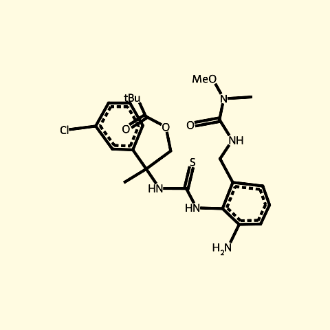 CON(C)C(=O)NCc1cccc(N)c1NC(=S)NC(C)(COC(=O)C(C)(C)C)c1cccc(Cl)c1